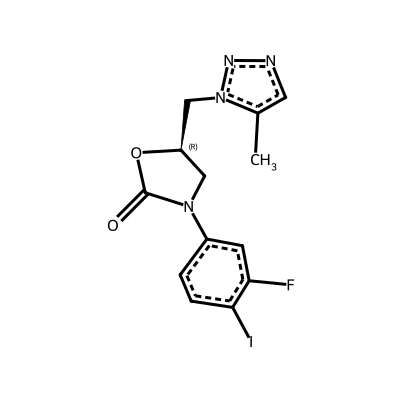 Cc1cnnn1C[C@H]1CN(c2ccc(I)c(F)c2)C(=O)O1